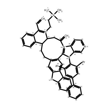 C=CC1=[N+](CC[Si](C)(C)C)C2CC(=C)[n+]3c(n(-c4c(C(C)C)cc(-c5ccccc5)cc4C(C)C)c4cnccc43)-c3cc4c(cc3CCC2c2ccccc21)oc1ccccc14